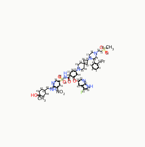 CC(C)c1ccccc1[C@@H]1CN(CCS(C)(=O)=O)CCN1C1CC2(CCN(c3ccc(C(=O)NS(=O)(=O)c4cnc(NCC5CCC(C)(O)CC5)c([N+](=O)[O-])c4)c(Oc4cnc5[nH]cc(F)c5c4)c3)CC2)C1